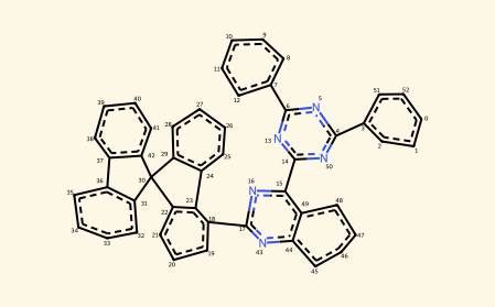 c1ccc(-c2nc(-c3ccccc3)nc(-c3nc(-c4cccc5c4-c4ccccc4C54c5ccccc5-c5ccccc54)nc4ccccc34)n2)cc1